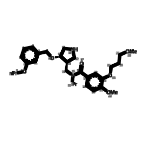 CCCOc1cccc(CO[C@@H]2CNC[C@H]2CN(C(=O)c2ccc(OC)c(OCCCOC)c2)C(C)C)c1